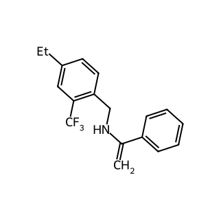 C=C(NCc1ccc(CC)cc1C(F)(F)F)c1ccccc1